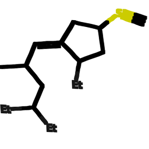 C#SC1C/C(=C/C(C)CC(CC)CC)C(CC)C1